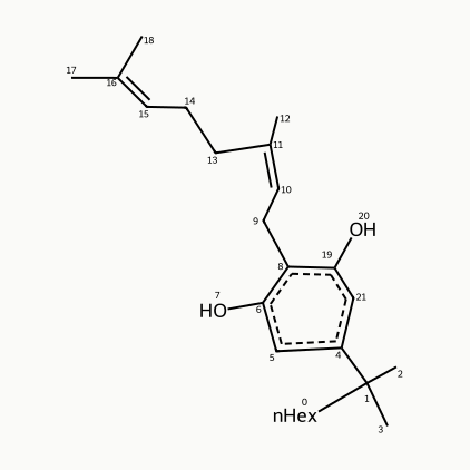 CCCCCCC(C)(C)c1cc(O)c(CC=C(C)CCC=C(C)C)c(O)c1